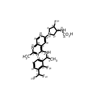 Cc1nc(NC(C)c2cccc(C(F)F)c2F)c2cc(N3CC(F)C(NC(=O)O)C3)ncc2n1